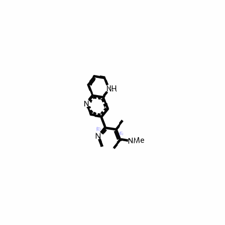 C/N=C(\C(C)=C(/C)NC)c1cnc2c(c1)NCC=C2